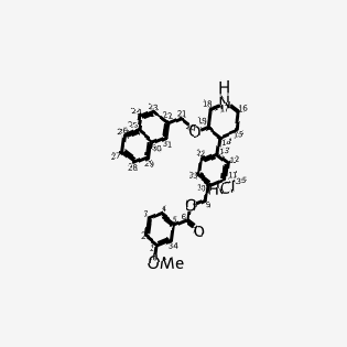 COc1cccc(C(=O)OCc2ccc(C3CCNCC3OCc3ccc4ccccc4c3)cc2)c1.Cl